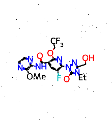 CCn1c(CO)nn(-c2nc(OCC(F)(F)F)c(C(=O)Nc3nccnc3OC)cc2F)c1=O